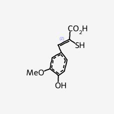 COc1cc(/C=C(\S)C(=O)O)ccc1O